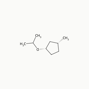 CC(C)O[C@H]1CC[C@@H](C)C1